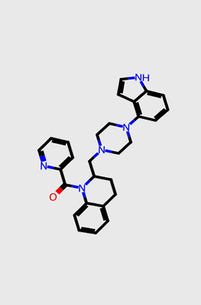 O=C(c1ccccn1)N1c2ccccc2CCC1CN1CCN(c2cccc3[nH]ccc23)CC1